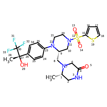 C[C@H]1CNC(=O)CN1C[C@H]1CN(S(=O)(=O)c2cccs2)CCN1c1ccc([C@](C)(O)C(F)(F)F)cc1